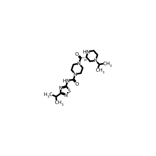 CC(C)c1nsc(NC(=O)N2CCN(C(=O)[C@H]3CN(C(C)C)CCN3)CC2)n1